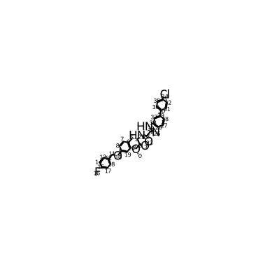 COC(=O)[C@H](Cc1ccc(OCc2ccc(F)cc2)cc1)NC(=O)c1nc2ccc(-c3ccc(Cl)cc3)cc2[nH]1